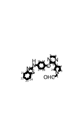 O=CCn1ccc(-c2nccnc2Oc2ccc(Nc3nc4ccccc4s3)cc2)c1